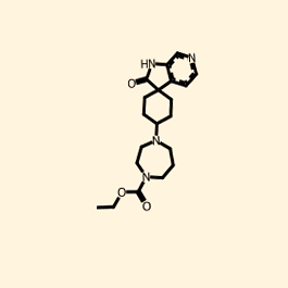 CCOC(=O)N1CCCN(C2CCC3(CC2)C(=O)Nc2cnccc23)CC1